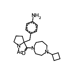 CC(=O)N1CCCC1(Cc1ccc(N)cc1)C(=O)N1CCCN(C2CCC2)CC1